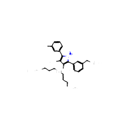 CCCCCCCCCCCC[CH2][Ni][CH2]CCCCCCCCCCCC.CCCCCCCCCCCc1cccc(C2=C(CCCCCCCC)C(CCCCCCCC)=C(c3cccc(CCCC)c3)[N+]2=[N-])c1